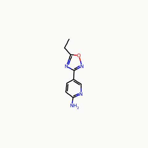 CCc1nc(-c2ccc(N)nc2)no1